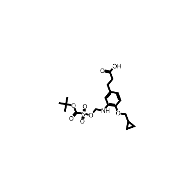 CC(C)(C)OC(=O)S(=O)(=O)OCNc1cc(CCC(=O)O)ccc1OCC1CC1